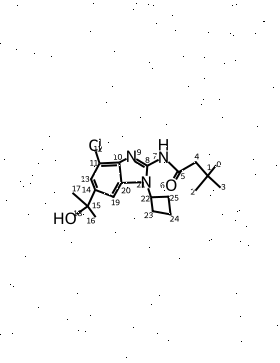 CC(C)(C)CC(=O)Nc1nc2c(Cl)cc(C(C)(C)O)cc2n1C1CCC1